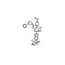 CC(=O)N1CCN(C(=O)C(NC(=O)c2cc3cc(C(F)(F)P(=O)(O)O)ccc3s2)C(C)(C)C)[C@H](C(=O)N2CCO[C@@H](c3ccccc3)C2)C1